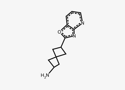 NC1CC2(C1)CC(c1nc3ncccc3o1)C2